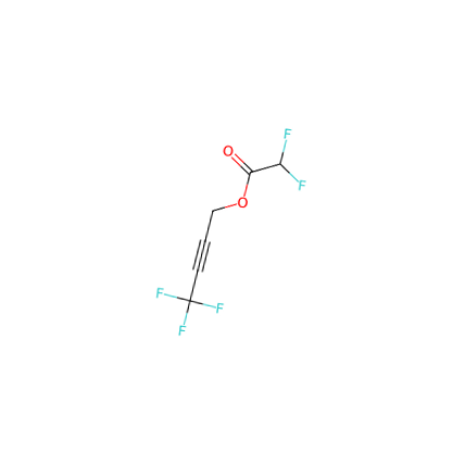 O=C(OCC#CC(F)(F)F)C(F)F